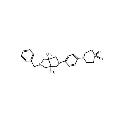 CC12CN(Cc3ccccc3)CC1(C)CN(c1ccc(N3CCS(=O)(=O)CC3)cc1)C2